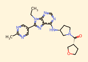 CCn1c(-c2cnc(C)nc2)nc2c(N[C@H]3CCN(C(=O)[C@@H]4CCOC4)C3)ncnc21